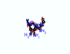 Cc1nc(-c2cccc(OC(C)C)c2)ncc1C(=O)NC(CCN)C(=O)N(C)C1C(=O)NC(C)C(=O)NC(C(=O)NCC#N)Cc2ccc(OCCN)c(c2)-c2cc1ccc2OCCN